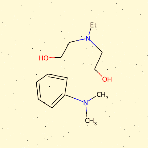 CCN(CCO)CCO.CN(C)c1ccccc1